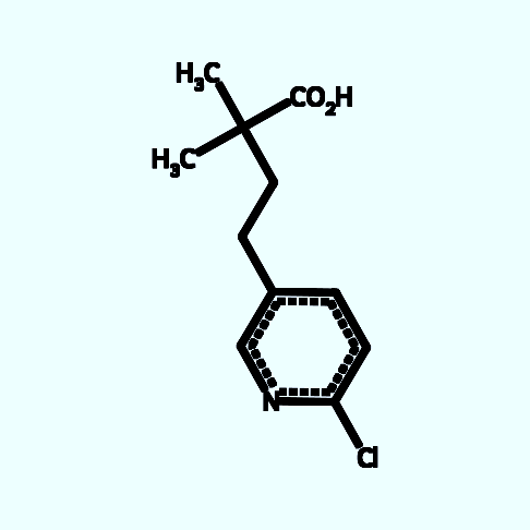 CC(C)(CCc1ccc(Cl)nc1)C(=O)O